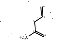 C=CCC(=C)C(=O)O